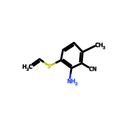 C=CSc1ccc(C)c(C#N)c1N